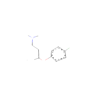 CCN(CC)CCC(Oc1ccc(Cl)cc1)C(=O)O.Cl